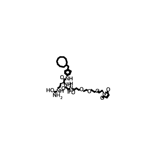 CC(C)[C@H](NC(=O)CCOCCOCCOCCN1C(=O)C=CC1=O)C(=O)N[C@@H](CCCNC(N)O)C(=O)Nc1ccc(CC2CCCCCCCCC2)cc1